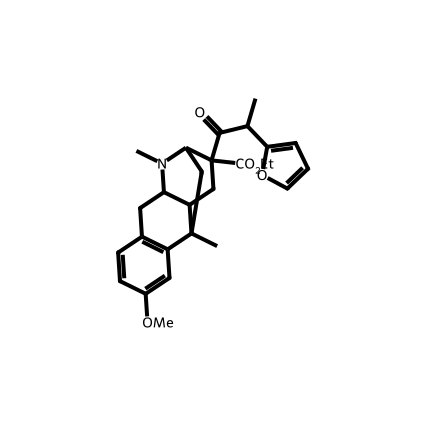 CCOC(=O)C1(C(=O)C(C)c2ccco2)CC2C3Cc4ccc(OC)cc4C2(C)CC1N3C